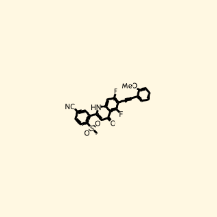 COc1ccccc1C#Cc1c(F)cc2[nH]c(-c3cc(C#N)ccc3S(C)(=O)=O)cc(=O)c2c1F